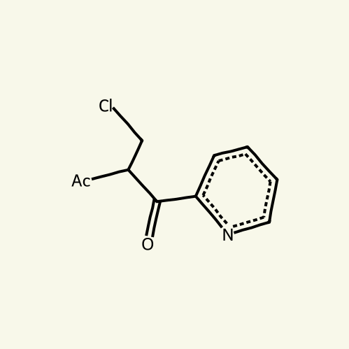 CC(=O)C(CCl)C(=O)c1ccccn1